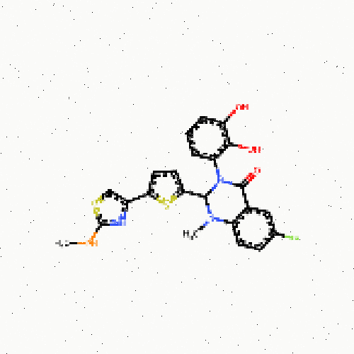 CPc1nc(-c2ccc(C3N(C)c4ccc(F)cc4C(=O)N3c3cccc(O)c3O)s2)cs1